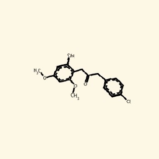 COc1cc(O)c(CC(=O)Cc2ccc(Cl)cc2)c(OC)c1